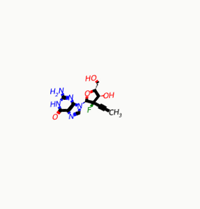 CC#CC1(F)[C@@H](O)[C@@H](CO)O[C@H]1n1cnc2c(=O)[nH]c(N)nc21